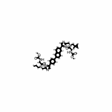 CCCN(Cc1ncc(-c2ccc(-c3ccc4cc(-c5cnc(CN(CC6(C)CC6)C(=O)CNC(=O)OC)[nH]5)ccc4c3)cc2)[nH]1)C(=O)CNC(=O)OC